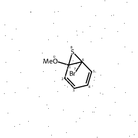 COC12C=CC=CC1(Br)S2